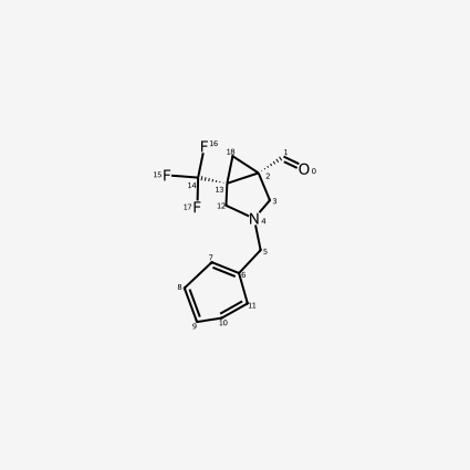 O=C[C@]12CN(Cc3ccccc3)C[C@@]1(C(F)(F)F)C2